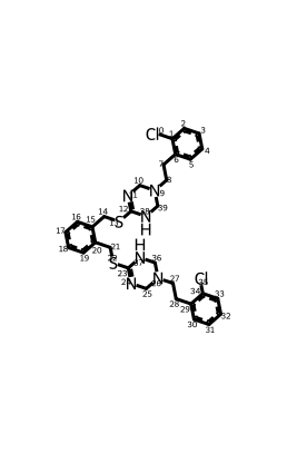 Clc1ccccc1CCN1CN=C(SCc2ccccc2CSC2=NCN(CCc3ccccc3Cl)CN2)NC1